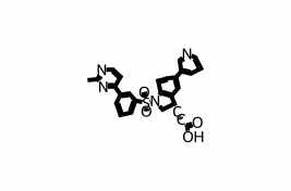 Cc1nccc(-c2cccc(S(=O)(=O)N3CC(CCC(=O)O)c4cc(-c5cccnc5)ccc43)c2)n1